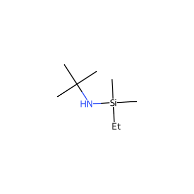 CC[Si](C)(C)NC(C)(C)C